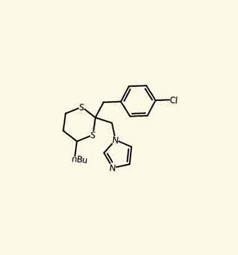 CCCCC1CCSC(Cc2ccc(Cl)cc2)(Cn2ccnc2)S1